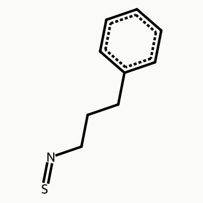 S=NCCCc1ccccc1